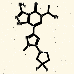 CC(C)C(C)n1cc(-c2cc(N3CCC(F)(F)C3)n(C)n2)c2[nH]nc(N)c2c1=O